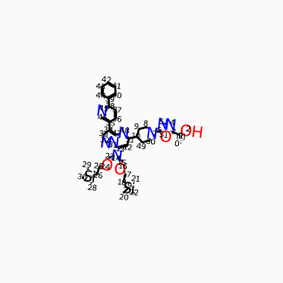 C[C@@H](O)c1nnc(N2CCC(c3cc(N(COCC[Si](C)(C)C)COCC[Si](C)(C)C)n4ncc(-c5ccc(-c6ccccc6)nc5)c4n3)CC2)o1